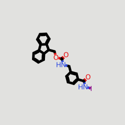 O=C(NCc1cccc(C(=O)NI)c1)OCC1c2ccccc2-c2ccccc21